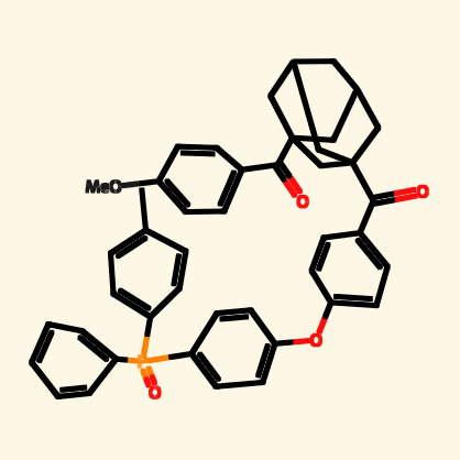 COc1ccc(C(=O)C23CC4CC(C2)CC(C(=O)c2ccc(Oc5ccc(P(=O)(c6ccccc6)c6ccc(C)cc6)cc5)cc2)(C4)C3)cc1